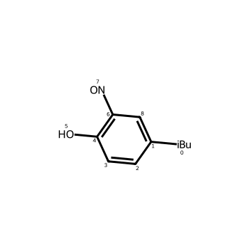 CCC(C)c1ccc(O)c(N=O)c1